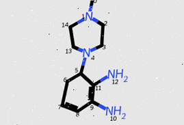 CN1CCN(C2CC=CC(N)=C2N)CC1